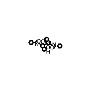 Oc1c(C2=NC(c3ccccc3)CO2)cc2ccccc2c1-c1c(O)c(C2=N[C@H](c3ccccc3)CO2)cc2ccccc12